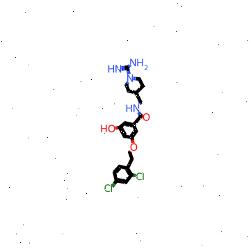 N=C(N)N1CCC(CNC(=O)c2cc(O)cc(OCCc3ccc(Cl)cc3Cl)c2)CC1